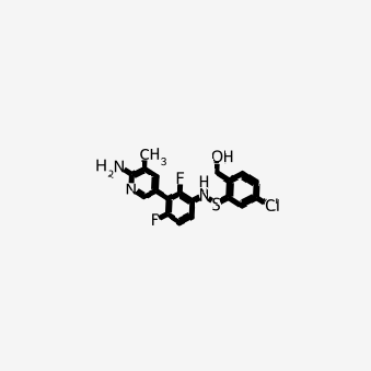 Cc1cc(-c2c(F)ccc(NSc3cc(Cl)ccc3CO)c2F)cnc1N